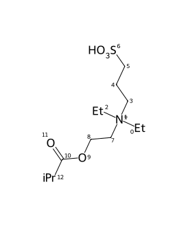 CC[N+](CC)(CCCS(=O)(=O)O)CCOC(=O)C(C)C